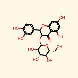 O=C1c2c(O)cc(O)cc2OC(c2ccc(O)c(O)c2)C1O[C@@H]1O[C@H](CO)[C@@H](O)[C@H](O)[C@H]1O